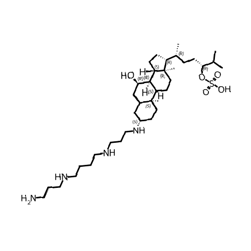 CC(C)[C@@H](CC[C@@H](C)[C@H]1CC[C@H]2[C@@H]3[C@H](O)CC4C[C@@H](NCCCNCCCCNCCCN)CC[C@]4(C)[C@H]3CC[C@]12C)OS(=O)(=O)O